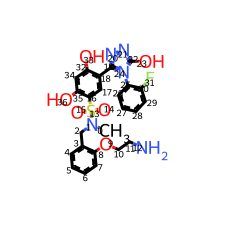 CN(Cc1ccccc1OCCN)S(=O)(=O)c1cc(-c2nnc(O)n2-c2ccccc2F)c(O)cc1O